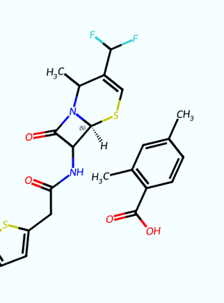 CC1C(C(F)F)=CS[C@H]2C(NC(=O)Cc3cccs3)C(=O)N12.Cc1ccc(C(=O)O)c(C)c1